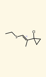 CCS/C=C(\C)C1(Cl)CC1